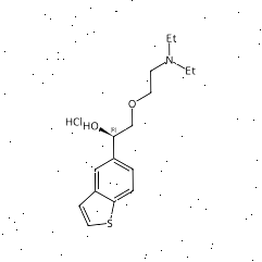 CCN(CC)CCOC[C@H](O)c1ccc2sccc2c1.Cl